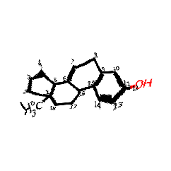 CC12CCCC1C1=CCc3cc(O)ccc3C1CC2